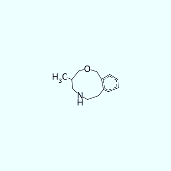 CC1CNCCc2ccccc2COC1